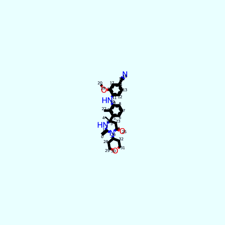 C=C1N[C@](C)(c2cccc(Nc3ccc(C#N)cc3OC)c2C)CC(=O)N1C1CCOCC1